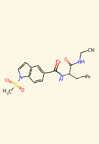 CC(C)CC(NC(=O)c1ccc2c(ccn2S(C)(=O)=O)c1)C(=O)NCC#N